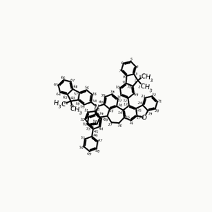 CC1(C)c2ccccc2-c2ccc(-c3c4c(cc5oc6ccccc6c35)CCC(c3ccccc3)c3c-4cccc3N(c3ccc(-c4ccccc4)cc3)c3ccc4c(c3)C(C)(C)c3ccccc3-4)cc21